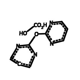 O=C(O)O.c1cnc(Oc2ncccn2)nc1